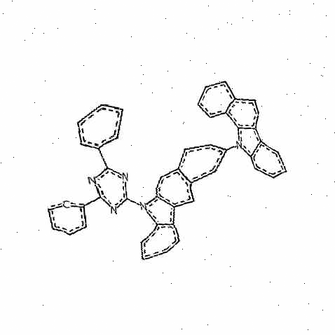 c1ccc(-c2nc(-c3ccccc3)nc(-n3c4ccccc4c4cc5cc(-n6c7ccccc7c7ccc8ccccc8c76)ccc5cc43)n2)cc1